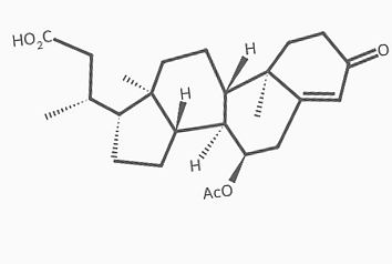 CC(=O)O[C@@H]1CC2=CC(=O)CC[C@]2(C)[C@H]2CC[C@]3(C)[C@@H]([C@H](C)CC(=O)O)CC[C@H]3[C@H]12